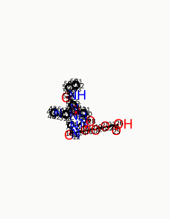 CN(CCN1CCC[C@H]1C(=O)N(C)CCOCCOCCOCCC(=O)O)C(=O)c1cccc(C(=O)Nc2ccc(N3CCCCC3)cc2-c2cc(C(=O)N[C@H]3CCCc4ccccc43)ccn2)c1